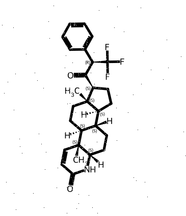 C[C@]12C=CC(=O)N[C@H]1CC[C@@H]1[C@@H]2CC[C@]2(C)[C@@H](C(=O)[C@@H](c3ccccc3)C(F)(F)F)CC[C@@H]12